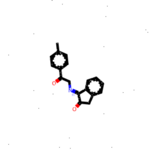 Cc1ccc(C(=O)C/N=C2/C(=O)Cc3ccccc32)cc1